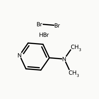 Br.BrBr.CN(C)c1ccncc1